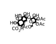 CC(=O)OC[C@H]1O[C@@H](Oc2cc3cc(C(=O)O)cc(O)c(=O)c3c(O)c2O)[C@H](O)[C@@H](OC(C)=O)[C@@H]1OC(C)=O